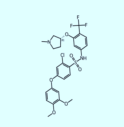 COc1ccc(Oc2ccc(S(=O)(=O)Nc3ccc(C(F)(F)F)c(O[C@@H]4CCN(C)C4)c3)c(Cl)c2)cc1OC